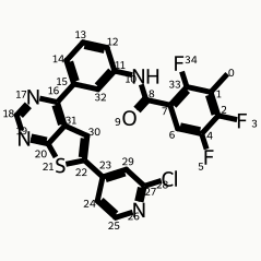 Cc1c(F)c(F)cc(C(=O)Nc2cccc(-c3ncnc4sc(-c5ccnc(Cl)c5)cc34)c2)c1F